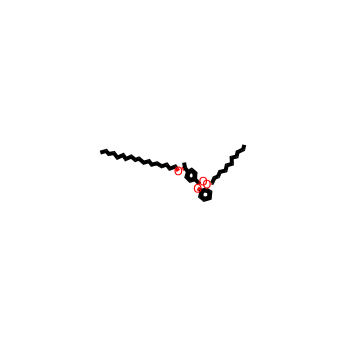 CCCCCCCCCCCCCCCCCCOC(C)c1ccc(C(=O)Oc2ccccc2OCCCCCCCCCCCC)cc1